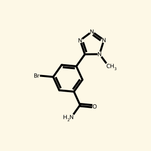 Cn1nnnc1-c1cc(Br)cc(C(N)=O)c1